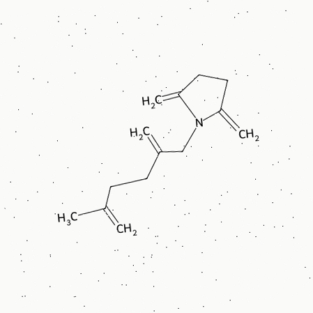 C=C(C)CCC(=C)CN1C(=C)CCC1=C